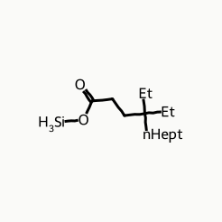 CCCCCCCC(CC)(CC)CCC(=O)O[SiH3]